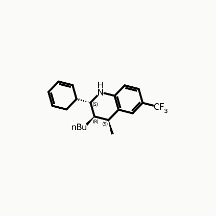 CCCC[C@@H]1[C@H](C)c2cc(C(F)(F)F)ccc2N[C@H]1C1C=CC=CC1